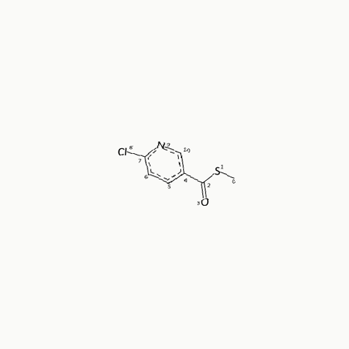 CSC(=O)c1ccc(Cl)nc1